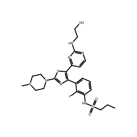 CCCS(=O)(=O)Nc1cccc(-c2nc(N3CCN(C)CC3)sc2-c2ccnc(NCCO)n2)c1F